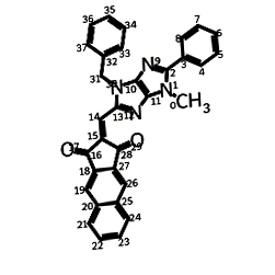 Cn1c(-c2ccccc2)nc2c1nc(C=C1C(=O)c3cc4ccccc4cc3C1=O)n2Cc1ccccc1